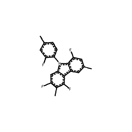 Cc1ccc(-n2c3cc(F)c(C)c(F)c3c3cc(C)cc(F)c32)c(F)c1